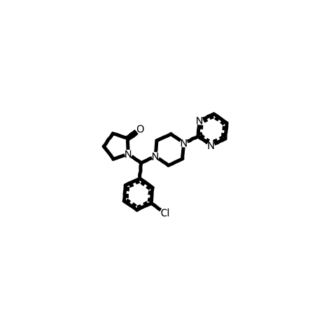 O=C1CCCN1C(c1cccc(Cl)c1)N1CCN(c2ncccn2)CC1